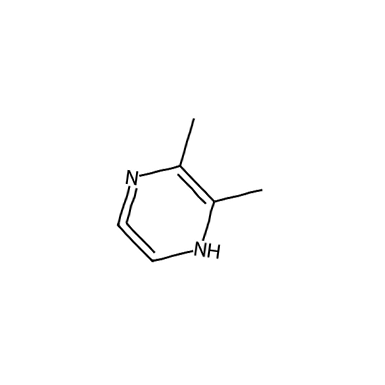 CC1=C(C)NC=C=N1